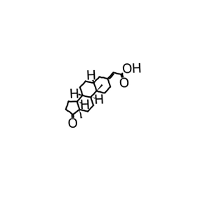 C[C@]12CC/C(=C\C(=O)O)C[C@H]1CC[C@@H]1[C@@H]2CC[C@]2(C)C(=O)CC[C@@H]12